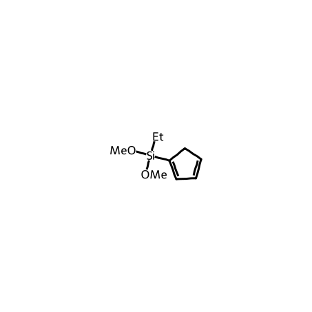 CC[Si](OC)(OC)C1=CC=CC1